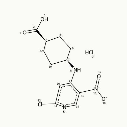 Cl.O=C(O)[C@H]1CC[C@@H](Nc2cc(Cl)ncc2[N+](=O)[O-])CC1